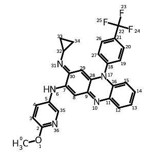 COc1ccc(Nc2cc3nc4ccccc4n(-c4ccc(C(F)(F)F)cc4)c-3c/c2=N\C2CC2)cn1